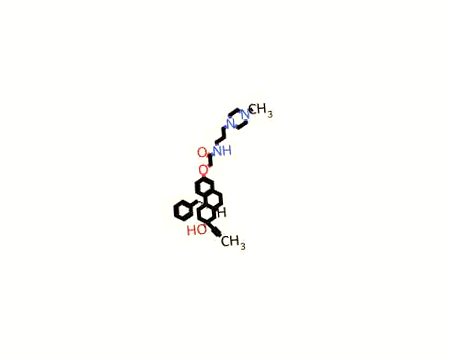 CC#C[C@@]1(O)CC[C@@]2(Cc3ccccc3)c3ccc(OCC(=O)NCCCN4CCN(C)CC4)cc3CC[C@@H]2C1